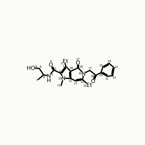 CCc1c(C(=O)NC(C)CO)n(C)c2cc(CC)n(CC(=O)c3ccccc3)c(=O)c12